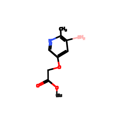 Bc1cc(OCC(=O)OC(C)(C)C)cnc1C